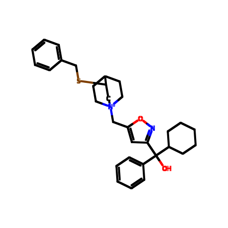 OC(c1ccccc1)(c1cc(C[N+]23CCC(CC2)C(SCc2ccccc2)C3)on1)C1CCCCC1